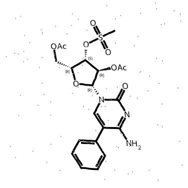 CC(=O)OC[C@H]1O[C@@H](n2cc(-c3ccccc3)c(N)nc2=O)[C@H](OC(C)=O)[C@H]1OS(C)(=O)=O